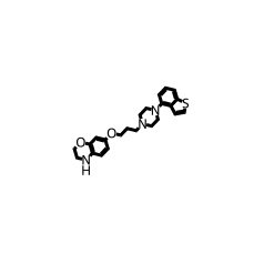 c1cc(N2CCN(CCCOc3ccc4c(c3)OCCN4)CC2)c2ccsc2c1